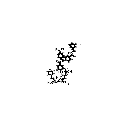 CCN(CC)c1ccc(NC(=O)c2cccc(CC(C)(C)OCCC(C)(C)OCCN(C)CCN3CCOCC3)c2)c(-c2cc(C(=O)NCc3cccc(C(F)(F)F)c3)ccn2)c1